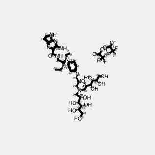 CCn1c(CNC(=O)c2nc3cc[nH]c3nc2N)[n+](CC)c2cc(OCCCN(C[C@H](O)[C@@H](O)[C@H](O)[C@H](O)CO)C[C@H](O)[C@@H](O)[C@H](O)[C@H](O)CO)ccc21.O=C(O)C(F)(F)F.O=C([O-])C(F)(F)F